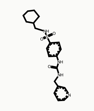 O=C(NCc1cccnc1)Nc1ccc(S(=O)(=O)NCC2CCCCC2)cc1